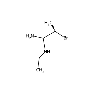 CCNC(N)[C@@H](C)Br